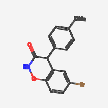 COc1ccc(C2C(=O)NOc3ccc(Br)cc32)cc1